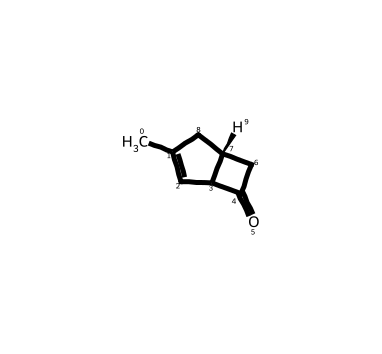 CC1=CC2C(=O)C[C@H]2C1